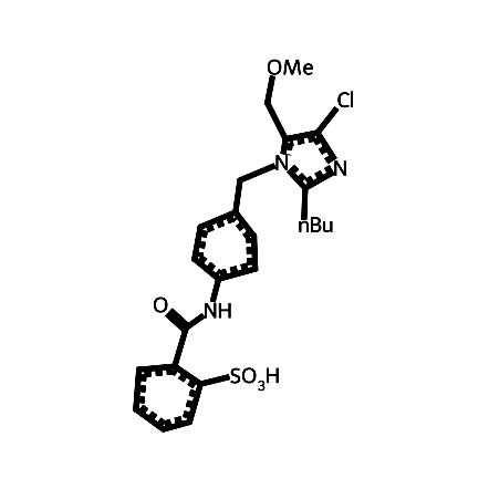 CCCCc1nc(Cl)c(COC)n1Cc1ccc(NC(=O)c2ccccc2S(=O)(=O)O)cc1